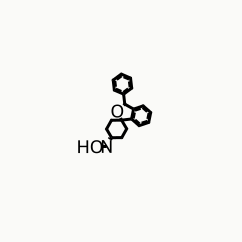 ON=C1CCC2(CC1)OC(c1ccccc1)c1ccccc12